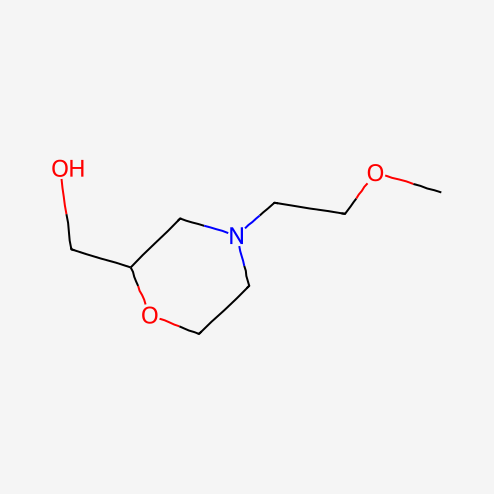 COCCN1CCOC(CO)C1